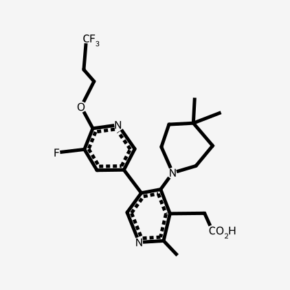 Cc1ncc(-c2cnc(OCCC(F)(F)F)c(F)c2)c(N2CCC(C)(C)CC2)c1CC(=O)O